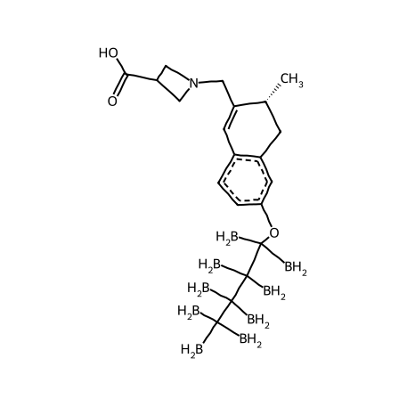 BC(B)(B)C(B)(B)C(B)(B)C(B)(B)Oc1ccc2c(c1)C[C@@H](C)C(CN1CC(C(=O)O)C1)=C2